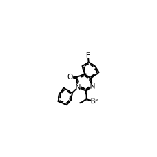 CC(Br)c1nc2ccc(F)cc2c(=O)n1-c1ccccc1